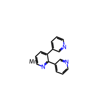 [Mn].c1cncc(-c2cccnc2-c2cccnc2)c1